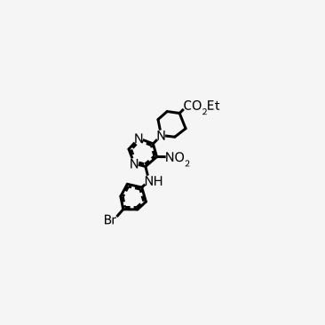 CCOC(=O)C1CCN(c2ncnc(Nc3ccc(Br)cc3)c2[N+](=O)[O-])CC1